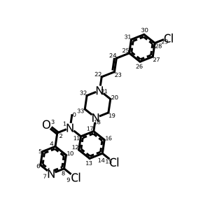 CN(C(=O)c1ccnc(Cl)c1)c1ccc(Cl)cc1N1CCN(CC=Cc2ccc(Cl)cc2)CC1